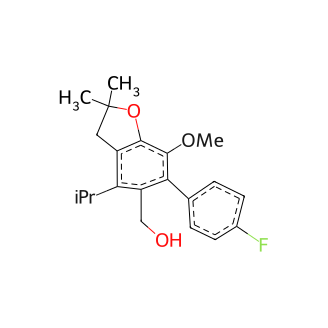 COc1c2c(c(C(C)C)c(CO)c1-c1ccc(F)cc1)CC(C)(C)O2